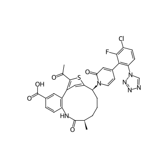 CC(=O)c1sc2cc1-c1cc(C(=O)O)ccc1NC(=O)[C@H](C)CCC[C@@H]2n1ccc(-c2c(-n3cnnn3)ccc(Cl)c2F)cc1=O